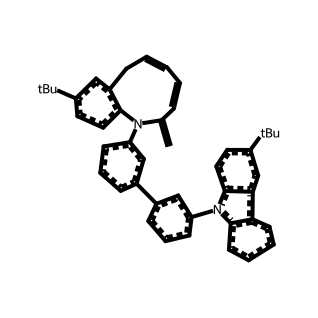 C=C1/C=C\C=C/Cc2cc(C(C)(C)C)ccc2N1c1cccc(-c2cccc(-n3c4ccccc4c4cc(C(C)(C)C)ccc43)c2)c1